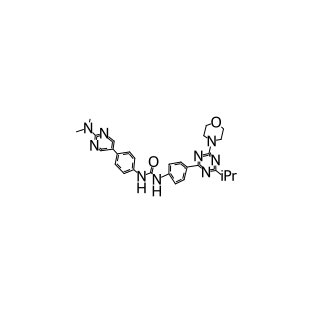 CC(C)c1nc(-c2ccc(NC(=O)Nc3ccc(-c4cnc(N(C)C)nc4)cc3)cc2)nc(N2CCOCC2)n1